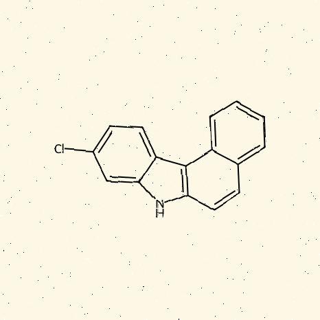 Clc1ccc2c(c1)[nH]c1ccc3ccccc3c12